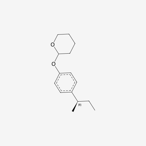 CC[C@@H](C)c1ccc(OC2CCCCO2)cc1